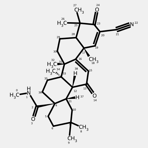 CNC(=O)[C@]12CCC(C)(C)C[C@H]1[C@H]1C(=O)C=C3[C@@]4(C)C=C(C#N)C(=O)C(C)(C)C4CC[C@@]3(C)[C@]1(C)CC2